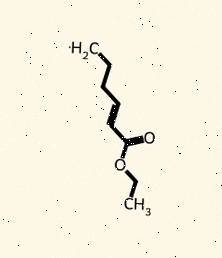 [CH2]CC/C=C/C(=O)OCC